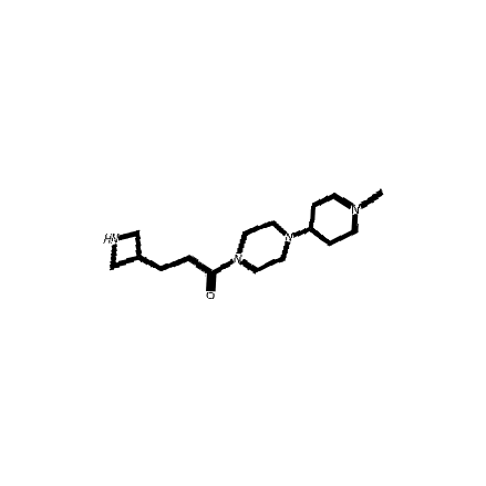 CN1CCC(N2CCN(C(=O)CCC3CNC3)CC2)CC1